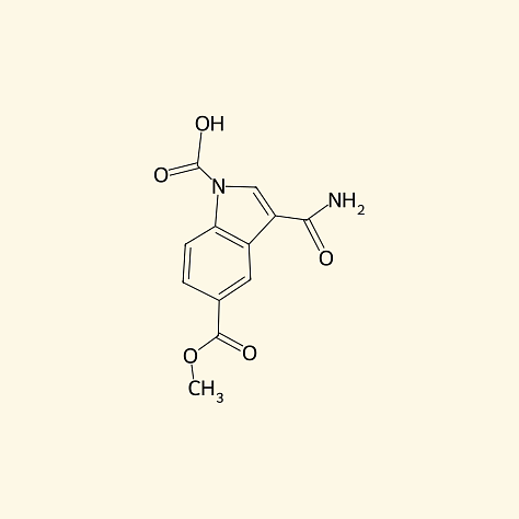 COC(=O)c1ccc2c(c1)c(C(N)=O)cn2C(=O)O